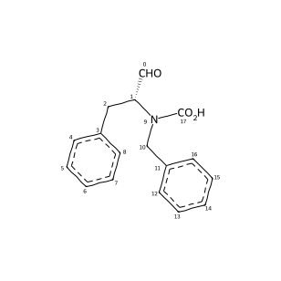 O=C[C@@H](Cc1ccccc1)N(Cc1ccccc1)C(=O)O